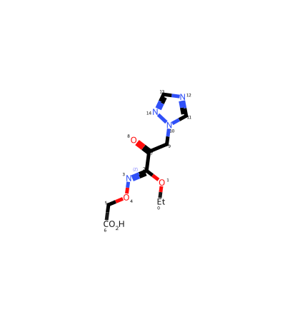 CCO/C(=N\OCC(=O)O)C(=O)Cn1cncn1